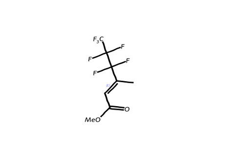 COC(=O)/C=C(\C)C(F)(F)C(F)(F)C(F)(F)F